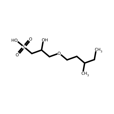 CCC(C)CCOCC(O)CS(=O)(=O)O